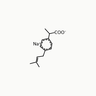 CC(C)=CCc1ccc(C(C)C(=O)[O-])cc1.[Na+]